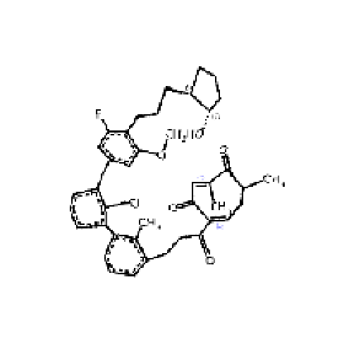 COc1cc(-c2cccc(-c3cccc(CCC(=O)/C4=C/CC(C)C(=O)/C(C)=C/C4=O)c3C)c2Cl)cc(F)c1CCC[C@H]1CCC[C@@H]1O